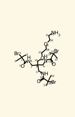 CC(C)(Br)C(=O)NCC(CNC(=O)C(C)(C)Br)(CNC(=O)C(C)(C)Br)COCCOCCN